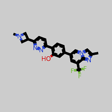 Cc1cn2cc(-c3ccc(-c4ccc(C5CN(C)C5)nn4)c(O)c3)cc(C(F)(F)F)c2n1